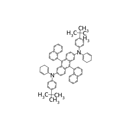 CC(C)(C)c1ccc(N(C2=CCCC=C2)c2ccc3c(-c4cccc5ccccc45)c4cc(N(C5=CCCC=C5)c5ccc(C(C)(C)C)cc5)ccc4c(-c4cccc5ccccc45)c3c2)cc1